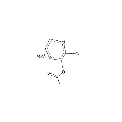 CC(=O)Oc1cccnc1Cl.[NaH]